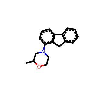 CC1CN(c2cccc3c2Cc2ccccc2-3)CCO1